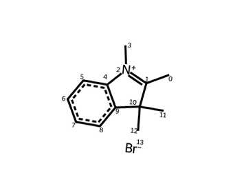 CC1=[N+](C)c2ccccc2C1(C)C.[Br-]